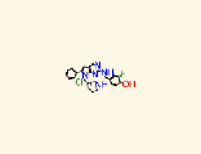 Oc1ccc(CNc2ncc3cc(-c4ccccc4Cl)n(C[C@@H]4CCCNC4)c3n2)cc1F